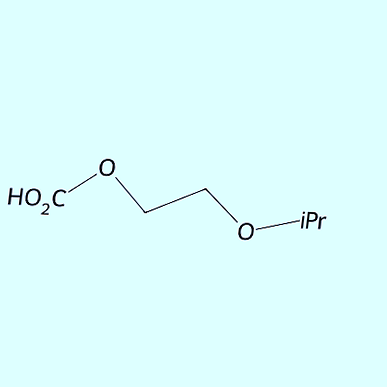 CC(C)OCCOC(=O)O